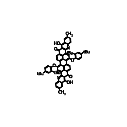 Cc1ccc2nc3c(c(O)c2c1)C(=O)c1ccc2c4c(Oc5ccc(C(C)(C)C)cc5C(C)(C)C)cc5c6c(ccc(c7c(Oc8ccc(C(C)(C)C)cc8C(C)(C)C)cc-3c1c27)c64)C(=O)c1c-5nc2ccc(C)cc2c1O